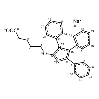 O=C([O-])CCCCOc1nc(-c2ccccc2)c(-c2ccccc2)n1-c1ccccc1.[Na+]